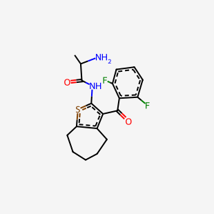 CC(N)C(=O)Nc1sc2c(c1C(=O)c1c(F)cccc1F)CCCCC2